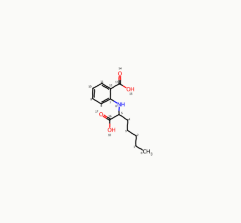 CCCCCC(Nc1ccccc1C(=O)O)C(=O)O